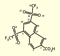 O=C(O)c1ccc2c(S(=O)(=O)C(F)(F)F)cc(S(=O)(=O)C(F)(F)F)cc2c1